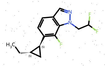 CC[C@H]1C[C@@H]1c1ccc2cnn(CC(F)F)c2c1F